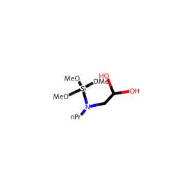 CCCN(CC(O)O)[Si](OC)(OC)OC